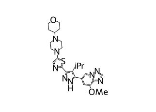 COc1cc(-c2[nH]nc(-c3ncc(N4CCN(C5CCOCC5)CC4)s3)c2C(C)C)cn2ncnc12